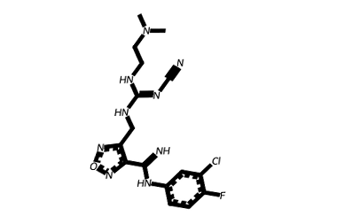 CN(C)CCNC(=NC#N)NCc1nonc1C(=N)Nc1ccc(F)c(Cl)c1